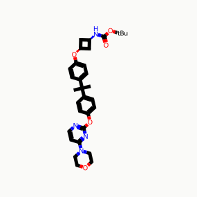 CC(C)(C)OC(=O)N[C@H]1C[C@@H](Oc2ccc(C(C)(C)c3ccc(Oc4nccc(N5CCOCC5)n4)cc3)cc2)C1